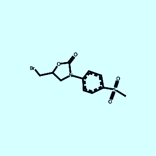 CS(=O)(=O)c1ccc(N2CC(CBr)OC2=O)cc1